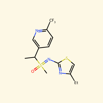 CCc1csc(N=S(C)(=O)C(C)c2ccc(C(F)(F)F)nc2)n1